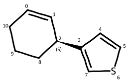 C1=C[C@@H](c2ccsc2)CCC1